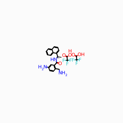 C[C@@H](NC(=O)c1cc(N)ccc1CN)c1cccc2ccccc12.O=C(O)C(F)(F)F.O=C(O)C(F)(F)F